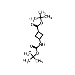 CC(C)(C)OC(=O)NC1CC(C(=O)OC(C)(C)C)C1